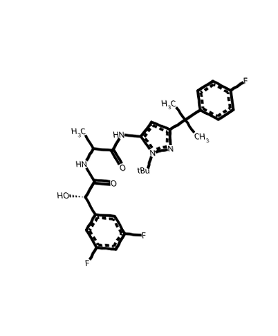 CC(NC(=O)[C@@H](O)c1cc(F)cc(F)c1)C(=O)Nc1cc(C(C)(C)c2ccc(F)cc2)nn1C(C)(C)C